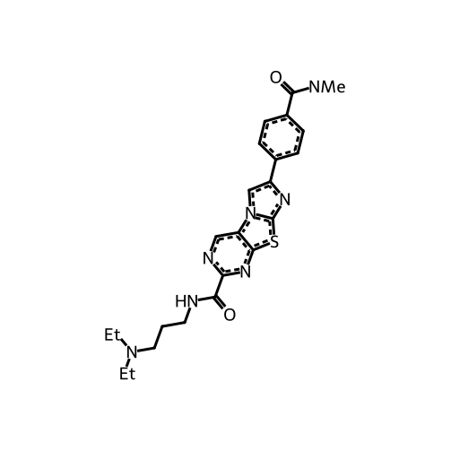 CCN(CC)CCCNC(=O)c1ncc2c(n1)sc1nc(-c3ccc(C(=O)NC)cc3)cn12